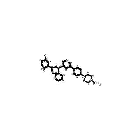 CN1CCN(c2ccc(-c3cncc(C4CC(c5cc(Cl)ccc5F)=Nc5ncccc54)c3)cc2)CC1